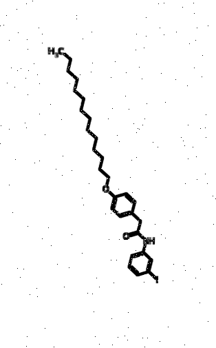 CCCCCCCCCCCCCCOc1ccc(CC(=O)Nc2cccc(I)c2)cc1